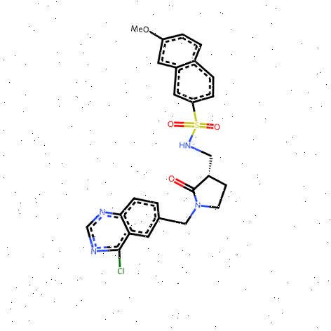 COc1ccc2ccc(S(=O)(=O)NC[C@@H]3CCN(Cc4ccc5ncnc(Cl)c5c4)C3=O)cc2c1